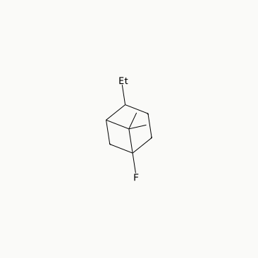 CCC1CCC2(F)CC1C2(C)C